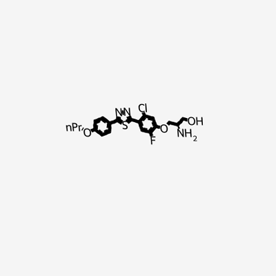 CCCOc1ccc(-c2nnc(-c3cc(F)c(OC[C@H](N)CO)cc3Cl)s2)cc1